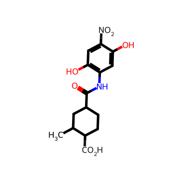 CC1CC(C(=O)Nc2cc(O)c([N+](=O)[O-])cc2O)CCC1C(=O)O